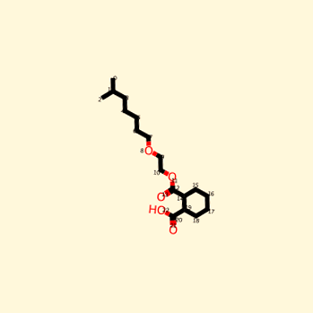 CC(C)CCCCCOCCOC(=O)C1CCCCC1C(=O)O